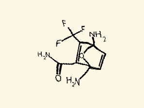 NC(=O)C1=C(C(F)(F)F)C2(N)C=CC1(N)O2